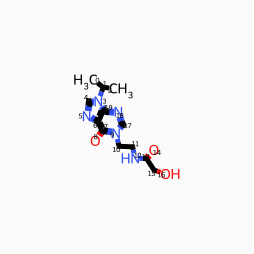 CC(C)n1cnc2c(=O)n(CCNC(=O)CO)cnc21